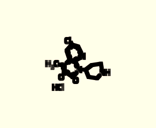 Cl.Cn1c(=O)c(=O)n(C2CCNCC2)c2ncc(Cl)cc21